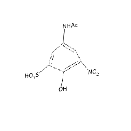 CC(=O)Nc1cc([N+](=O)[O-])c(O)c(S(=O)(=O)O)c1